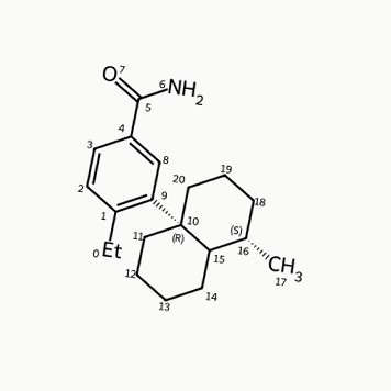 CCc1ccc(C(N)=O)cc1[C@@]12CCCCC1[C@@H](C)CCC2